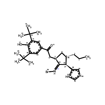 CCC[C@H]1CN(CC(=O)c2cc(C(C)(C)C)c(O)c(C(C)(C)C)c2)/C(=N\Br)[C@@H]1c1cnc[nH]1